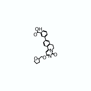 O=C(O)c1cccc(-c2ccc3c(c2)CCn2c-3cc(OCC3CCCO3)nc2=O)c1